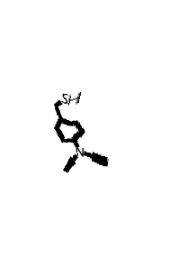 C#CN(C#C)c1ccc(CS)cc1